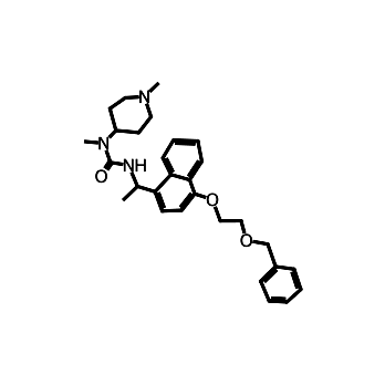 CC(NC(=O)N(C)C1CCN(C)CC1)c1ccc(OCCOCc2ccccc2)c2ccccc12